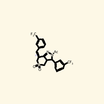 CC(=O)N1N=C2/C(=C\c3cccc(C(F)(F)F)c3)CS(=O)(=O)CC2C1c1cccc(C(F)(F)F)c1